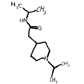 CC(C)NC(=O)CC1CCN(C(C)C)CC1